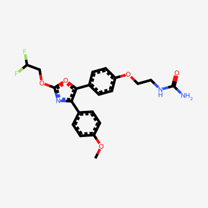 COc1ccc(-c2nc(OCC(F)F)oc2-c2ccc(OCCNC(N)=O)cc2)cc1